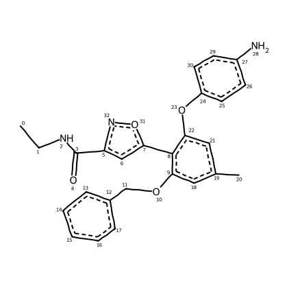 CCNC(=O)c1cc(-c2c(OCc3ccccc3)cc(C)cc2Oc2ccc(N)cc2)on1